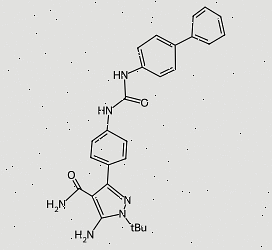 CC(C)(C)n1nc(-c2ccc(NC(=O)Nc3ccc(-c4ccccc4)cc3)cc2)c(C(N)=O)c1N